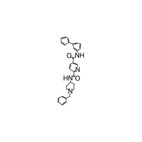 O=C(Nc1cccc(-c2ccccc2)c1)c1ccc(C(=O)NC2CCN(Cc3ccccc3)CC2)nc1